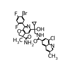 Cc1cnc2c(Cl)cc(C(=O)NC[C@](O)(c3cc4c(c(-c5cc(Br)c(F)cc5F)n3)OC[C@]4(C)C(N)=O)C3CC3)cc2c1